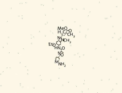 CCOc1cc2nc(CCC(C)(C)C(=O)OC)n(C)c2cc1NC(=O)c1coc(-c2ccnc(N)c2)n1